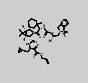 C=CCNC(=O)C(=O)C(CC1CC1)NC(=O)[C@@H]1[C@@H]2[C@H](CN1C(=O)[C@@H](NC(=O)N[C@H](CN1Cc3sccc3S1(=O)=O)C(C)(C)C)C1(C)CCCCC1)C2(C)C